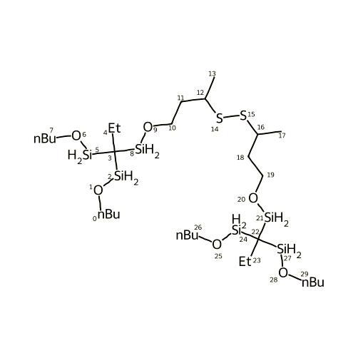 CCCCO[SiH2]C(CC)([SiH2]OCCCC)[SiH2]OCCC(C)SSC(C)CCO[SiH2]C(CC)([SiH2]OCCCC)[SiH2]OCCCC